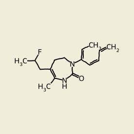 C=C/C=C\C(=C/C)N1CCC(CC(C)F)=C(C)NC1=O